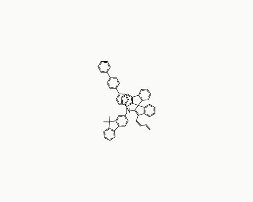 C=C/C=C\C1=C(N(c2ccc(-c3ccc(-c4ccccc4)cc3)cc2)c2ccc3c(c2)C(C)(C)c2ccccc2-3)C2(c3ccccc31)c1ccccc1-c1ccccc12